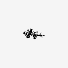 C=CCCC(NC(=O)[C@@H]1C2C(CN1C(=O)[C@@H](NC(=O)OC(C)(C)C)C1CCCCC1)C2(C)C)C(=O)C(=O)NCCCC(=O)OCC